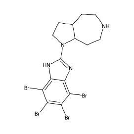 Brc1c(Br)c(Br)c2[nH]c(N3CCC4CCNCCC43)nc2c1Br